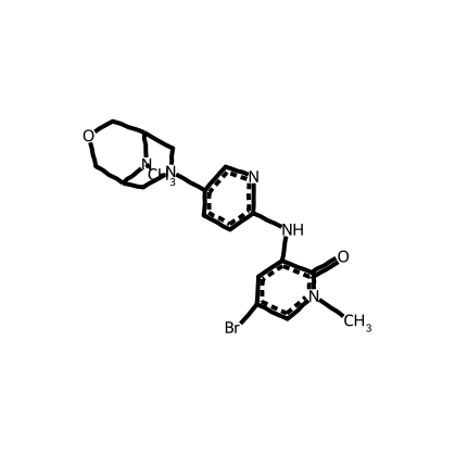 CN1C2COCC1CN(c1ccc(Nc3cc(Br)cn(C)c3=O)nc1)C2